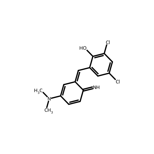 CN(C)C1=CC(=Cc2cc(Cl)cc(Cl)c2O)C(=N)C=C1